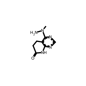 CN(N)c1ncnc2c1CCC(=O)N2